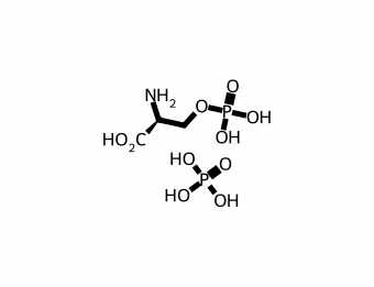 N[C@@H](COP(=O)(O)O)C(=O)O.O=P(O)(O)O